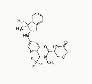 CN(C(=O)C1COCC(=O)N1)[C@@H](c1ccc(NC2Cc3ccccc3C2(C)C)cn1)C(F)(F)F